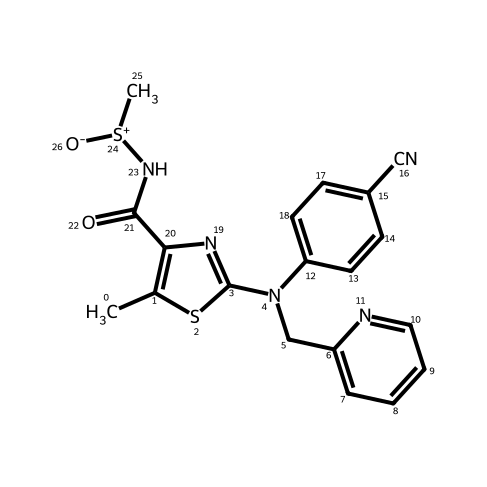 Cc1sc(N(Cc2ccccn2)c2ccc(C#N)cc2)nc1C(=O)N[S+](C)[O-]